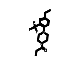 CCC(=O)N1CCN(c2ccc(CC)cc2C(F)(F)F)CC1